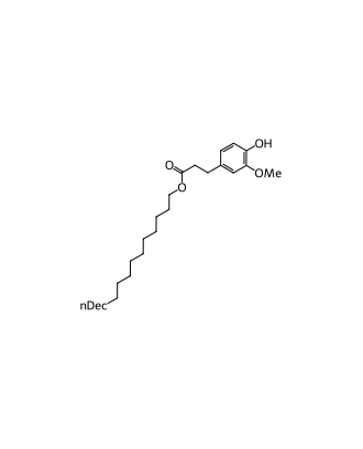 CCCCCCCCCCCCCCCCCCCCOC(=O)CCc1ccc(O)c(OC)c1